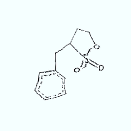 O=S1(=O)OCCC1Cc1ccccc1